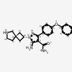 NC(=O)c1c(-c2ccc(Oc3ccccc3)cc2)nn([C@H]2C[C@]3(CCNC3)C2)c1N